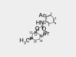 CC(=O)c1ccccc1NC(=O)O[C@@H]1C[C@H](C)CC[C@H]1C(C)C